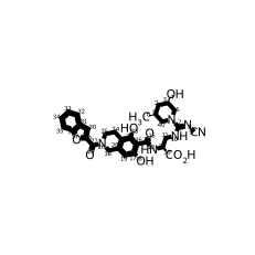 C[C@@H]1C[C@H](O)CN(/C(=N/C#N)NC[C@H](NC(=O)c2c(O)cc3c(c2O)CCN(C(=O)c2cc4ccccc4o2)C3)C(=O)O)C1